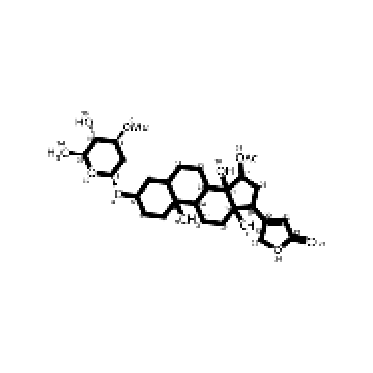 CO[C@H]1C[C@H](OC2CCC3(C)C(CCC4C3CCC3(C)C(C5=CC(=O)OC5)CC(OC(C)=O)C43O)C2)O[C@@H](C)[C@@H]1O